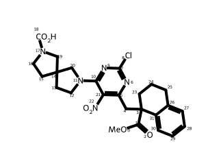 COC(=O)C1(Cc2nc(Cl)nc(N3CCC4(CCN(C(=O)O)C4)C3)c2[N+](=O)[O-])CCCc2ccccc21